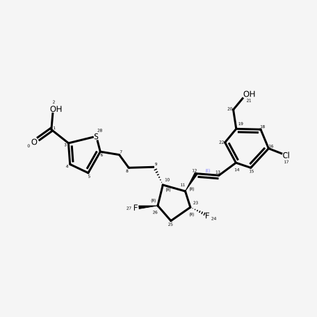 O=C(O)c1ccc(CCC[C@@H]2[C@@H](/C=C/c3cc(Cl)cc(CO)c3)[C@H](F)C[C@H]2F)s1